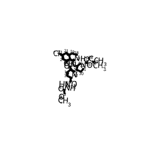 COCC(=O)NNC(=O)c1ccc(C(=O)N(c2nccc3cc(Cl)cc(C)c23)[C@@H]2CCCN(C(=O)OC(C)(C)C)C2)cn1